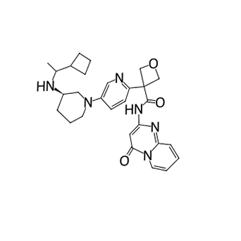 CC(N[C@@H]1CCCN(c2ccc(C3(C(=O)Nc4cc(=O)n5ccccc5n4)COC3)nc2)C1)C1CCC1